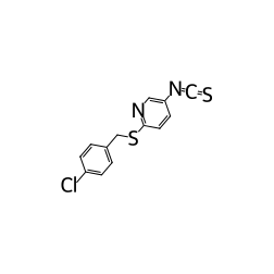 S=C=Nc1ccc(SCc2ccc(Cl)cc2)nc1